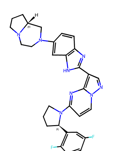 Fc1ccc(F)c([C@H]2CCCN2c2ccn3ncc(-c4nc5ccc(N6CCN7CCC[C@@H]7C6)cc5[nH]4)c3n2)c1